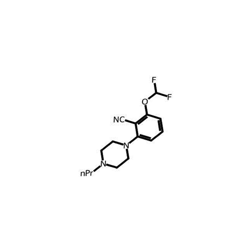 CCCN1CCN(c2cccc(OC(F)F)c2C#N)CC1